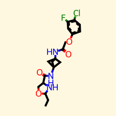 CCC1NC(C(=O)NC23CC(NC(=O)COc4ccc(Cl)c(F)c4)(C2)C3)CO1